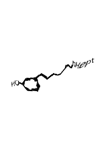 CCCCCCCCCCCC=Cc1cccc(O)c1